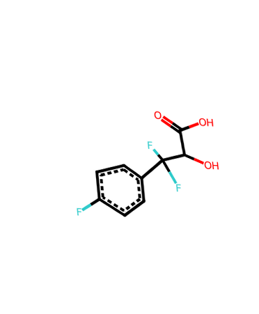 O=C(O)C(O)C(F)(F)c1ccc(F)cc1